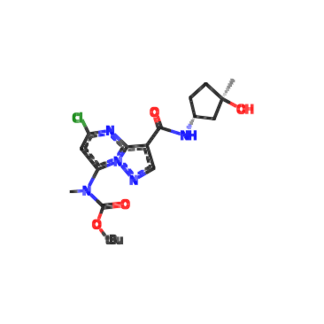 CN(C(=O)OC(C)(C)C)c1cc(Cl)nc2c(C(=O)N[C@@H]3CC[C@@](C)(O)C3)cnn12